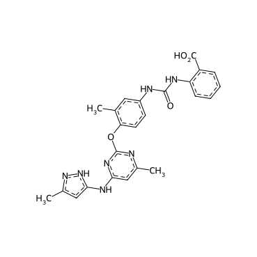 Cc1cc(Nc2cc(C)nc(Oc3ccc(NC(=O)Nc4ccccc4C(=O)O)cc3C)n2)[nH]n1